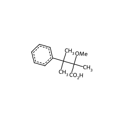 COC(C)(C(=O)O)C(C)(C)c1ccccc1